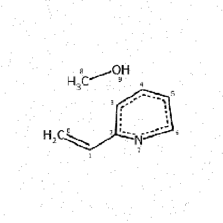 C=Cc1ccccn1.CO